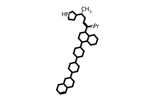 CCC/C(=C\C[C@@H](C)C1CCNC1)C1CCC(C2CCC(C3CCC(C4CCC5C=CCCC5C4)CC3)CC2)C2CCCCC12